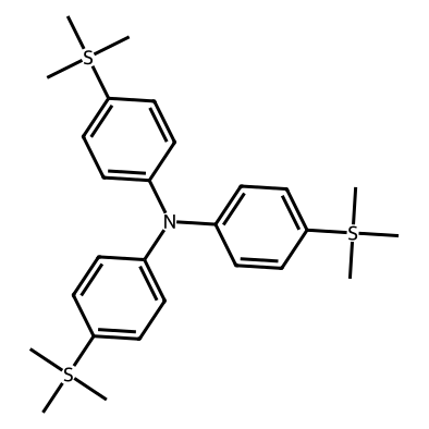 CS(C)(C)c1ccc(N(c2ccc(S(C)(C)C)cc2)c2ccc(S(C)(C)C)cc2)cc1